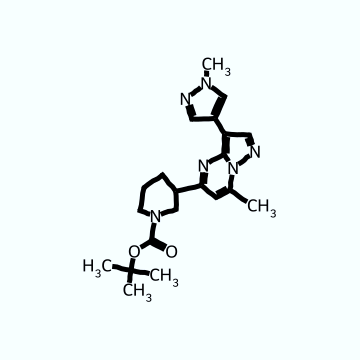 Cc1cc(C2CCCN(C(=O)OC(C)(C)C)C2)nc2c(-c3cnn(C)c3)cnn12